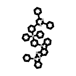 c1ccc(-c2cc(-c3cccc([Si](c4ccccc4)(c4ccccc4)c4cccc(-n5c6ccccc6c6ccc7c(nc8n(-c9ccccc9)c9ccccc9n78)c65)c4)c3)nc(-c3ccccc3)n2)cc1